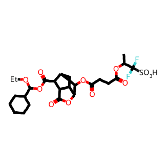 CCOC(OC(=O)C1C2CC3C(OC(=O)C31)C2OC(=O)CCC(=O)OC(C)C(F)(F)S(=O)(=O)O)C1CCCCC1